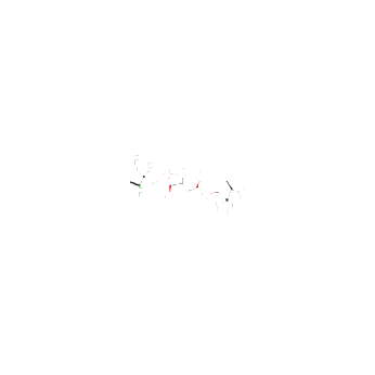 C=C(F)C(F)(CF)COC(=O)CC(S)C(=O)OCC(F)(CF)C(=C)F